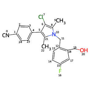 [C-]#[N+]c1ccc(-c2c(Cl)c(C)n(Cc3ccc(F)cc3CO)c2C)cc1